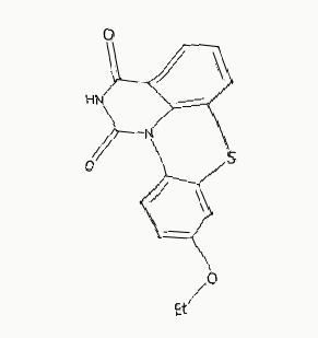 CCOc1ccc2c(c1)Sc1cccc3c(=O)[nH]c(=O)n-2c13